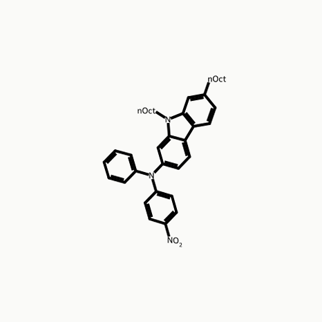 CCCCCCCCc1ccc2c3ccc(N(c4ccccc4)c4ccc([N+](=O)[O-])cc4)cc3n(CCCCCCCC)c2c1